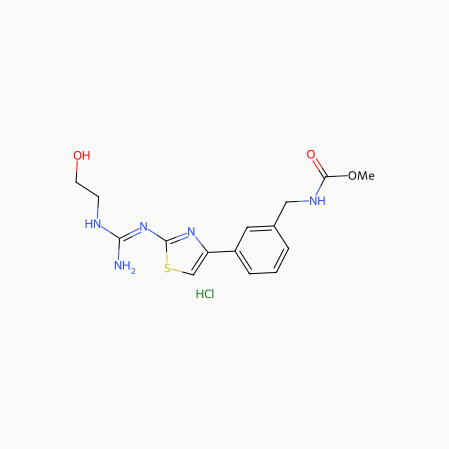 COC(=O)NCc1cccc(-c2csc(/N=C(\N)NCCO)n2)c1.Cl